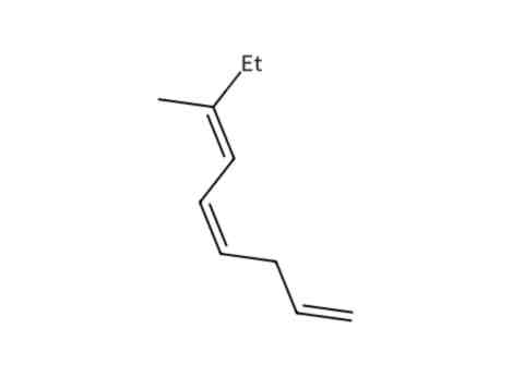 C=CC/C=C\C=C(/C)CC